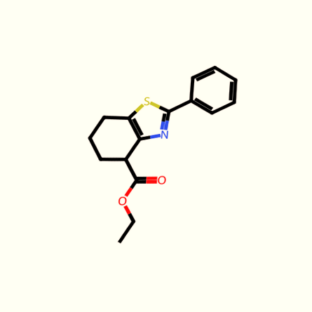 CCOC(=O)C1CCCc2sc(-c3ccccc3)nc21